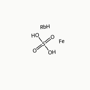 O=S(=O)(O)O.[Fe].[RbH]